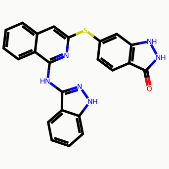 O=c1[nH][nH]c2cc(Sc3cc4ccccc4c(Nc4n[nH]c5ccccc45)n3)ccc12